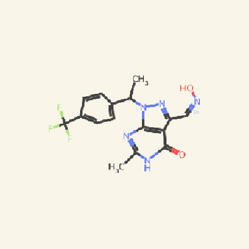 Cc1nc2c(c(/C=N\O)nn2C(C)c2ccc(C(F)(F)F)cc2)c(=O)[nH]1